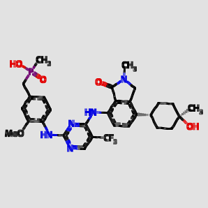 COc1cc(CP(C)(=O)O)ccc1Nc1ncc(C(F)(F)F)c(Nc2ccc([C@H]3CC[C@](C)(O)CC3)c3c2C(=O)N(C)C3)n1